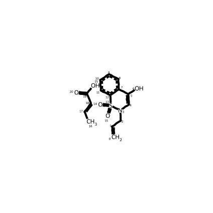 C=CCN1C=C(O)c2ccccc2S1(=O)=O.CC=CC(=O)O